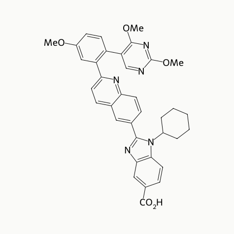 COc1ccc(-c2cnc(OC)nc2OC)c(-c2ccc3cc(-c4nc5cc(C(=O)O)ccc5n4C4CCCCC4)ccc3n2)c1